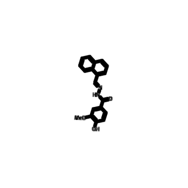 COc1cc(C(=O)N/N=C/c2cccc3ccccc23)ccc1O